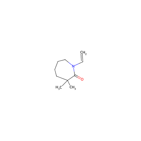 C=CN1CCCCC(C)(C)C1=O